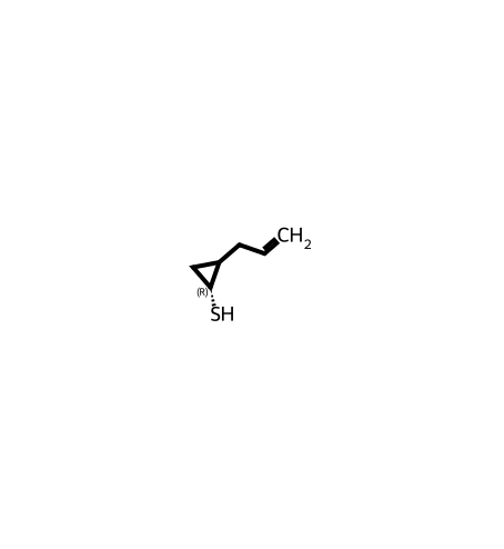 C=CCC1C[C@H]1S